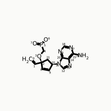 C=C[C@@]1(OCP(=O)=O)C=C[C@H](n2cnc3c(N)ncnc32)C1